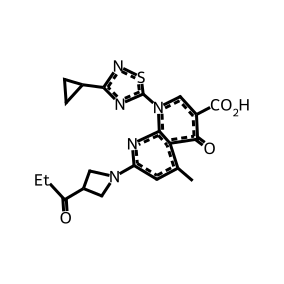 CCC(=O)C1CN(c2cc(C)c3c(=O)c(C(=O)O)cn(-c4nc(C5CC5)ns4)c3n2)C1